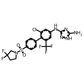 Nc1nc(Nc2cc(Cl)c(-c3ccc(S(=O)(=O)N4CCC(F)(F)C4)cc3)c(C(F)(F)F)c2)n[nH]1